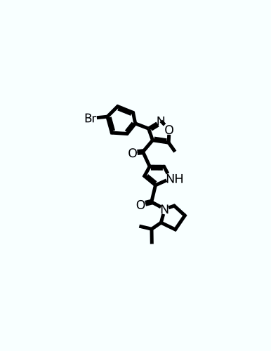 Cc1onc(-c2ccc(Br)cc2)c1C(=O)c1c[nH]c(C(=O)N2CCCC2C(C)C)c1